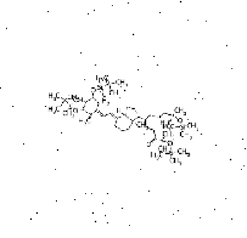 C=C1/C(=C/C=C2CCC[C@]3(C)[C@@H]([C@@H](CCCC(C)(C)O[Si](C)(C)C)CCC(=O)C(C)(C)O[Si](C)(C)C)CC[C@@H]23)C[C@H](O[Si](C)(C)C(C)(C)C)C[C@H]1O[Si](C)(C)C(C)(C)C